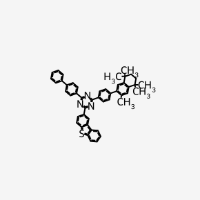 Cc1cc2c(cc1-c1ccc(-c3nc(-c4ccc(-c5ccccc5)cc4)nc(-c4ccc5sc6ccccc6c5c4)n3)cc1)C(C)(C)CCC2(C)C